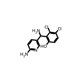 Nc1ccc(C(N)c2c(O)ccc(Cl)c2Cl)cn1